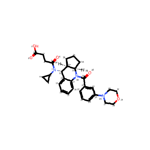 O=C(O)CCC(=O)N(C1CC1)[C@H]1c2ccccc2N(C(=O)c2cccc(N3CCOCC3)c2)[C@@H]2CCC[C@@H]21